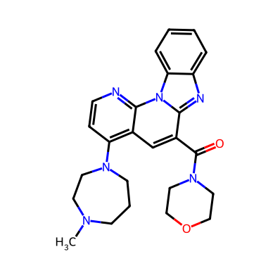 CN1CCCN(c2ccnc3c2cc(C(=O)N2CCOCC2)c2nc4ccccc4n23)CC1